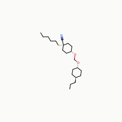 CCCCCC[C@]1(C#N)CC[C@H](OCO[C@H]2CC[C@H](CCC)CC2)CC1